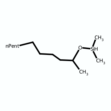 CCCCCCCCCC(C)O[SiH](C)C